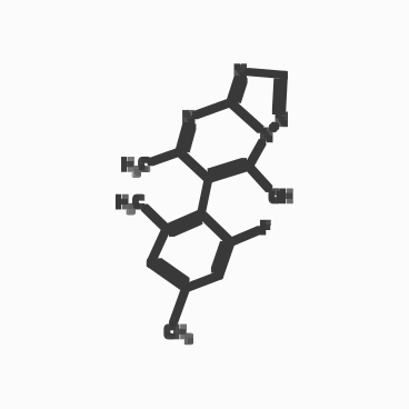 Cc1cc(C)c(-c2c(C)nc3ncnn3c2O)c(F)c1